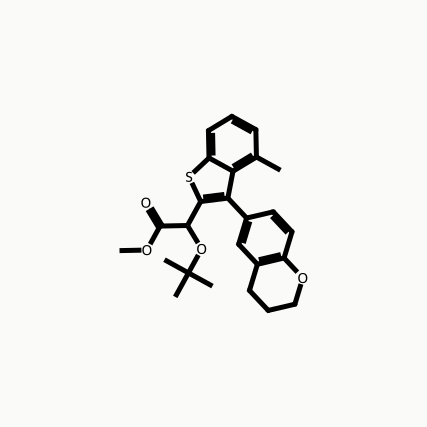 COC(=O)C(OC(C)(C)C)c1sc2cccc(C)c2c1-c1ccc2c(c1)CCCO2